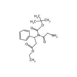 CCOC(=O)CC(c1ccccc1)N(C(=O)CN)C(=O)OC(C)(C)C